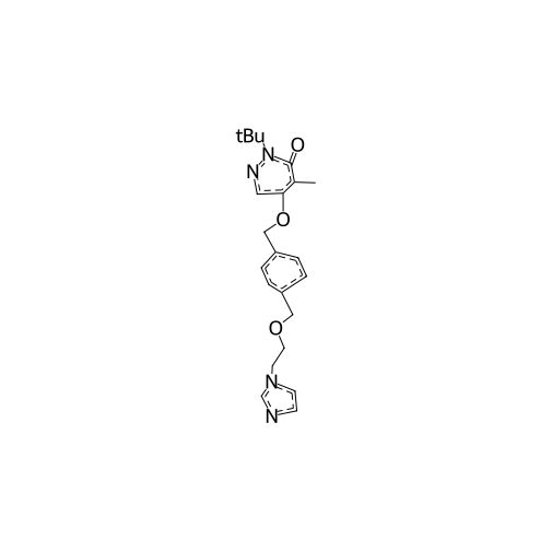 Cc1c(OCc2ccc(COCCn3ccnc3)cc2)cnn(C(C)(C)C)c1=O